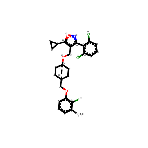 O=C(O)c1cccc(OCC23CCC(OCc4c(-c5c(Cl)cccc5Cl)noc4C4CC4)(CC2)CC3)c1F